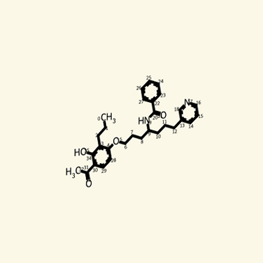 CCCc1c(OCCCC(CCCc2cccnc2)NC(=O)c2ccccc2)ccc(C(C)=O)c1O